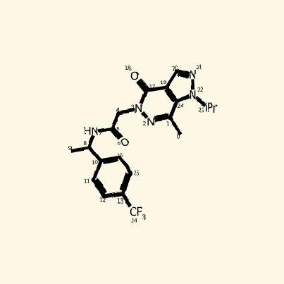 Cc1nn(CC(=O)NC(C)c2ccc(C(F)(F)F)cc2)c(=O)c2cnn(C(C)C)c12